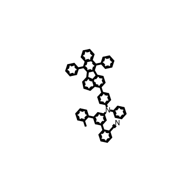 Cc1ccccc1-c1cc(-c2ccccc2C#N)cc(N(c2ccccc2)c2ccc(-c3ccc4c5c(cccc35)-c3c-4c(-c4ccccc4)c4ccccc4c3-c3ccccc3)cc2)c1